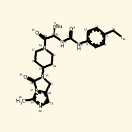 CCCC[C@@H](NC(=O)Nc1ccc(CI)cc1)C(=O)N1CCC(N2Cc3cnc(C)n3C2=O)CC1